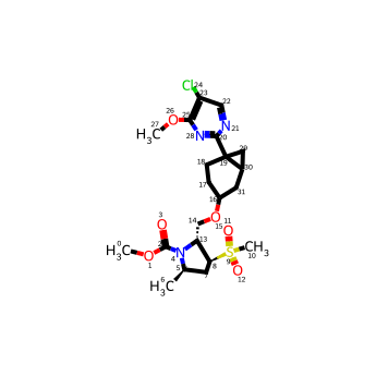 COC(=O)N1[C@H](C)C[C@H](S(C)(=O)=O)[C@H]1COC1CCC2(c3ncc(Cl)c(OC)n3)CC2C1